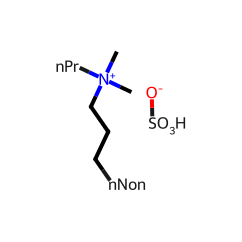 CCCCCCCCCCCC[N+](C)(C)CCC.O=S(=O)([O-])O